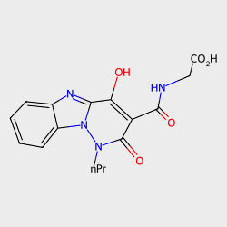 CCCn1c(=O)c(C(=O)NCC(=O)O)c(O)c2nc3ccccc3n21